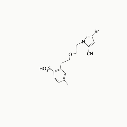 Cc1ccc(S(=O)(=O)O)c(CCOCCn2cc(Br)cc2C#N)c1